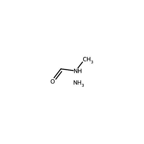 CNC=O.N